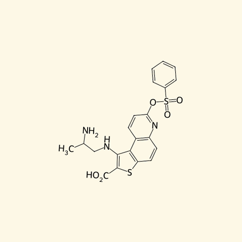 CC(N)CNc1c(C(=O)O)sc2ccc3nc(OS(=O)(=O)c4ccccc4)ccc3c12